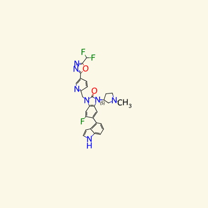 CN1CC[C@H](n2c(=O)n(Cc3ccc(-c4nnc(C(F)F)o4)cn3)c3cc(F)c(-c4cccc5[nH]ccc45)cc32)C1